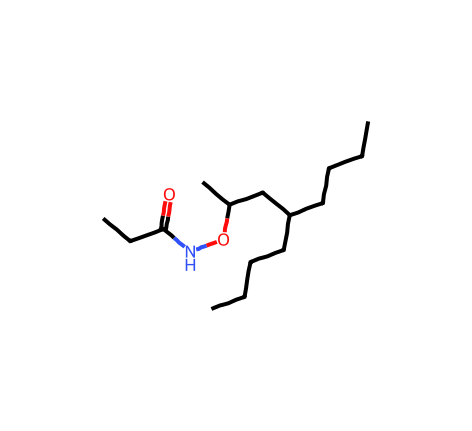 CCCCC(CCCC)CC(C)ONC(=O)CC